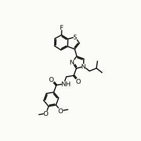 COc1ccc(C(=O)NCC(=O)c2nc(-c3csc4c(F)cccc34)cn2CC(C)C)cc1OC